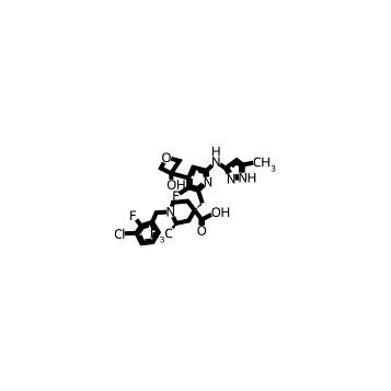 Cc1cc(Nc2cc(C3(O)COC3)c(F)c(C[C@@]3(C(=O)O)CCN(Cc4cccc(Cl)c4F)[C@H](C)C3)n2)n[nH]1